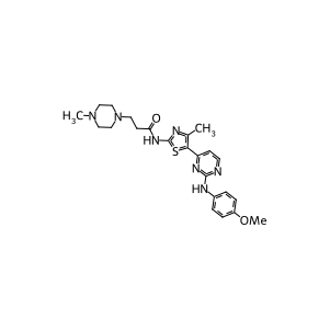 COc1ccc(Nc2nccc(-c3sc(NC(=O)CCN4CCN(C)CC4)nc3C)n2)cc1